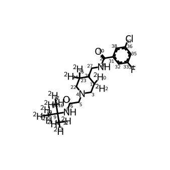 [2H]C1([2H])CN(CC(=O)NC(C([2H])([2H])[2H])(C([2H])([2H])[2H])C([2H])([2H])[2H])CC([2H])([2H])C1CNC(=O)c1cc(F)cc(Cl)c1